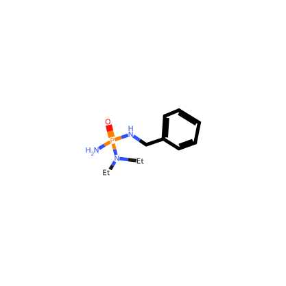 CCN(CC)P(N)(=O)NCc1ccccc1